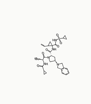 C=CC1CC1(NC(=O)[C@@H]1C[C@@H](N2Cc3ccccc3C2)CN1C(=O)[C@@H](NC(=O)C1CC1)C(C)(C)C)C(=O)NS(=O)(=O)C1CC1